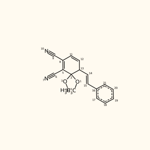 COC1(OC)C(C#N)=C(C#N)C=CC1C=Cc1ccccc1